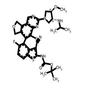 CO[C@@H]1CN(c2ncc3c4c(c(-c5c(F)ccc6sc(NC(=O)OC(C)(C)C)c(C#N)c56)c(F)c3n2)COC4)C[C@H]1NC(C)C